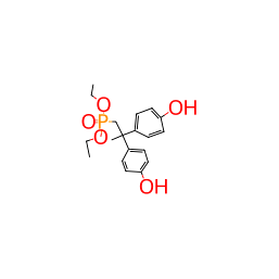 CCOP(=O)(CC(C)(c1ccc(O)cc1)c1ccc(O)cc1)OCC